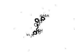 COc1cccc(Oc2ccccc2OC(=O)CCN([SH]=O)c2ccc(C)cc2)c1